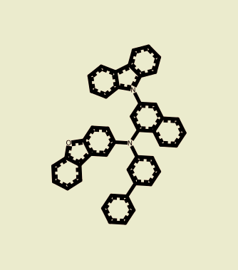 c1ccc(-c2cccc(N(c3ccc4oc5ccccc5c4c3)c3cc(-n4c5ccccc5c5ccccc54)cc4ccccc34)c2)cc1